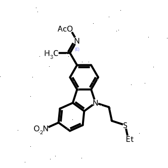 CCSCCn1c2ccc(/C(C)=N/OC(C)=O)cc2c2cc([N+](=O)[O-])ccc21